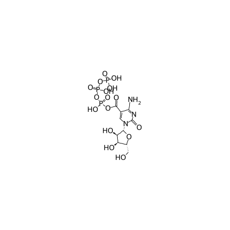 Nc1nc(=O)n([C@@H]2O[C@H](CO)[C@@H](O)[C@H]2O)cc1C(=O)OP(=O)(O)OP(=O)(O)OP(=O)(O)O